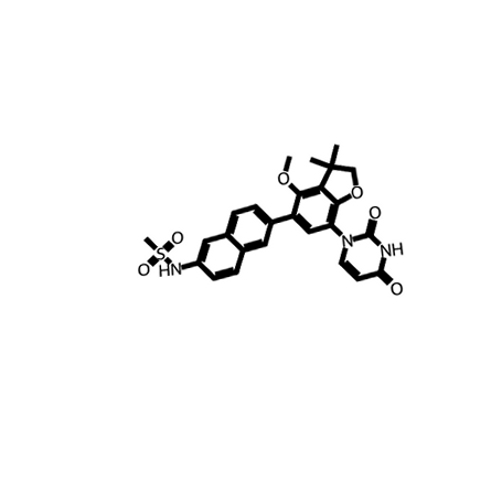 COc1c(-c2ccc3cc(NS(C)(=O)=O)ccc3c2)cc(-n2ccc(=O)[nH]c2=O)c2c1C(C)(C)CO2